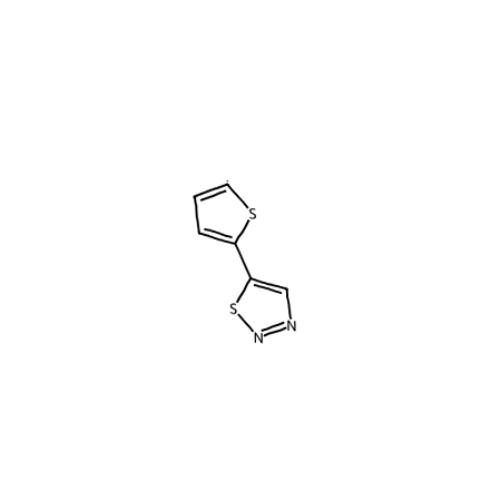 [c]1ccc(-c2cnns2)s1